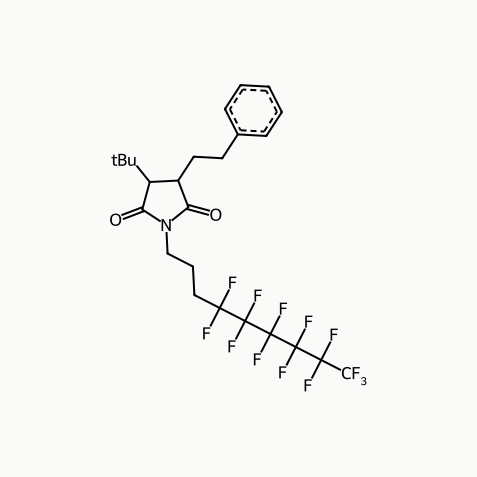 CC(C)(C)C1C(=O)N(CCCC(F)(F)C(F)(F)C(F)(F)C(F)(F)C(F)(F)C(F)(F)F)C(=O)C1CCc1ccccc1